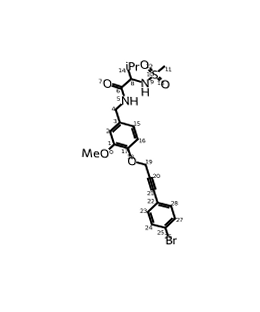 COc1cc(CNC(=O)C(NS(C)(=O)=O)C(C)C)ccc1OCC#Cc1ccc(Br)cc1